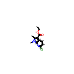 CCOC(=O)c1c(C)n(C)c2nc(Cl)ccc12